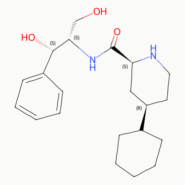 O=C(N[C@@H](CO)[C@@H](O)c1ccccc1)[C@@H]1C[C@H](C2CCCCC2)CCN1